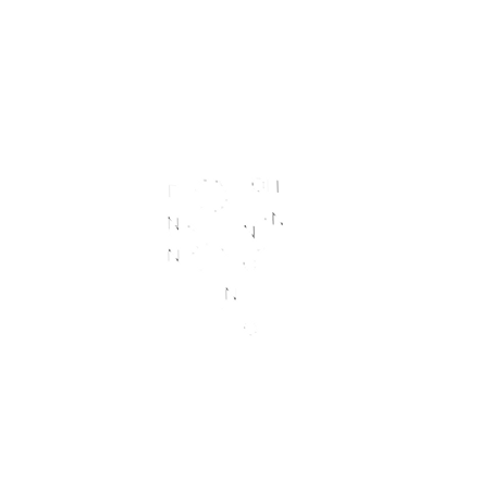 Cn1c(C(O)c2ccc(F)c(-c3ncnc4cc(N5CCOCC5)ccc34)c2)nccc1=O